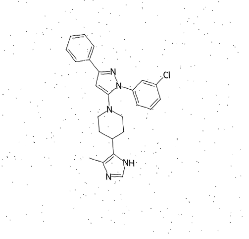 Cc1nc[nH]c1C1CCN(c2cc(-c3ccccc3)nn2-c2cccc(Cl)c2)CC1